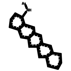 [Au][AlH][c]1cccc2cc3cc4cc5ccccc5cc4cc3cc12